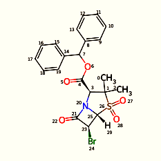 CC1(C)[C@H](C(=O)OC(c2ccccc2)c2ccccc2)N2C(=O)[C@H](Br)[C@H]2S1(=O)=O